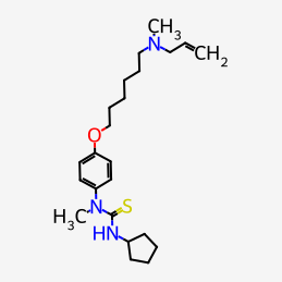 C=CCN(C)CCCCCCOc1ccc(N(C)C(=S)NC2CCCC2)cc1